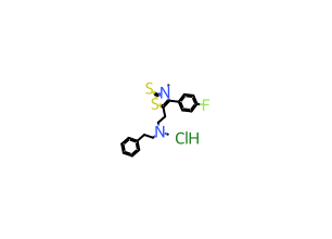 CN(CCc1ccccc1)CCc1sc(=S)n(C)c1-c1ccc(F)cc1.Cl